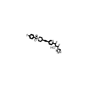 O=S(=O)(c1ccc(F)cc1)N1CCC(C#Cc2ccc(C(F)C(O)C(F)n3cnnn3)nc2)CC1